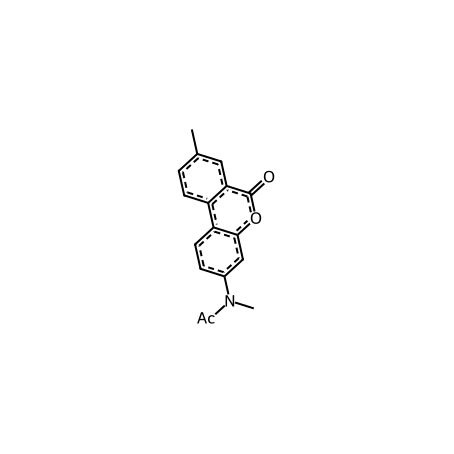 CC(=O)N(C)c1ccc2c(c1)oc(=O)c1cc(C)ccc12